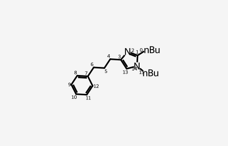 CCCCc1nc(CCCc2ccccc2)cn1CCCC